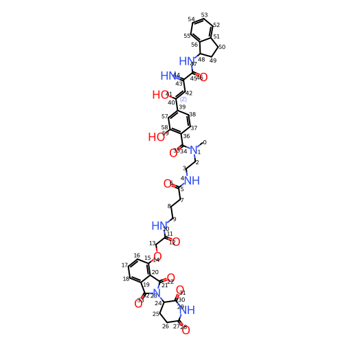 CN(CCNC(=O)CCCNC(=O)COc1cccc2c1C(=O)N(C1CCC(=O)NC1=O)C2=O)C(=O)c1ccc(/C(O)=C/C(=N)C(=O)NC2CCc3ccccc32)cc1O